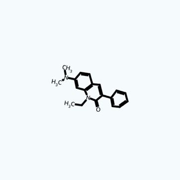 CCn1c(=O)c(-c2ccccc2)cc2ccc(N(C)C)cc21